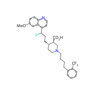 COc1ccc2nccc([C@H](F)CC[C@@H]3CCN(CCCCc4ccccc4C(F)(F)F)C[C@@H]3C(=O)O)c2c1